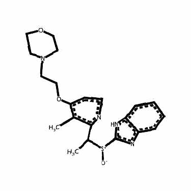 Cc1c(OCCN2CCOCC2)ccnc1C(C)[S+]([O-])c1nc2ccccc2[nH]1